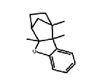 CC12CCC(C1)C1(C)Oc3ccccc3C21C